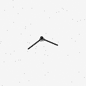 CCCCCCCCCCCCCCCCCCOc1[c]cccc1OCCCCCCCCCCCCCCCCCC